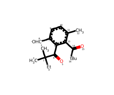 CCC(C)(C)C(=O)c1c([C]=O)ccc(C)c1C(=O)C(C)(C)C